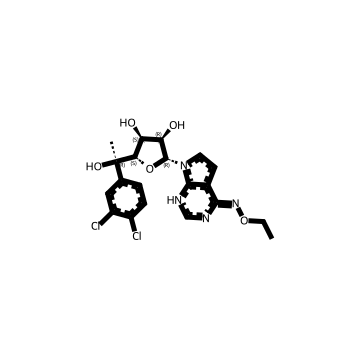 CCON=c1nc[nH]c2c1ccn2[C@@H]1O[C@H]([C@](C)(O)c2ccc(Cl)c(Cl)c2)[C@@H](O)[C@H]1O